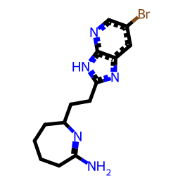 NC1=NC(CCc2nc3cc(Br)cnc3[nH]2)CCCC1